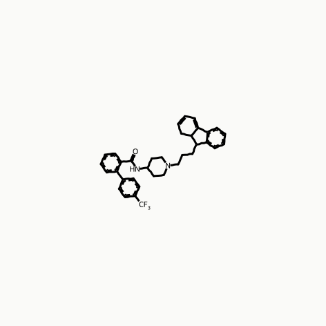 O=C(NC1CCN(CCCC2c3ccccc3C3=CC=CCC32)CC1)c1ccccc1-c1ccc(C(F)(F)F)cc1